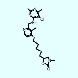 Cc1nc(C)c(Cl)c(NCc2nccc(SCCCSCC3CN(C)C(=O)O3)c2C)n1